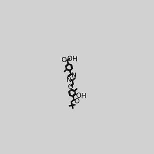 Cc1cc(C(=O)O)ccc1-c1cnc(COc2ccc(C(=O)CC(C)(C)C)c(O)c2C)cn1